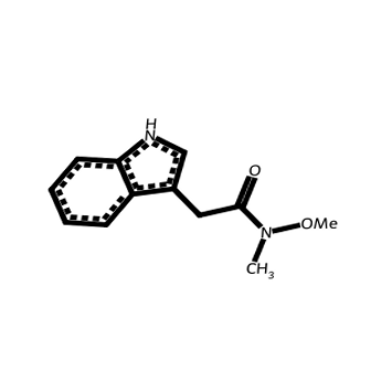 CON(C)C(=O)Cc1c[nH]c2ccccc12